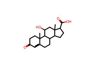 CC12CCC(=O)C=C1CCC1C2C(O)CC2(C)C(C(=O)O)CCC12